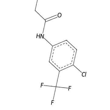 O=C(CBr)Nc1ccc(Cl)c(C(F)(F)F)c1